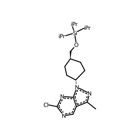 Cc1nn([C@H]2CC[C@H](CO[Si](C(C)C)(C(C)C)C(C)C)CC2)c2nc(Cl)ncc12